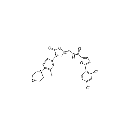 O=C(NC[C@H]1CN(c2ccc(N3CCOCC3)c(F)c2)C(=O)O1)c1ccc(-c2ccc(Cl)cc2Cl)o1